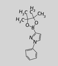 CC1(C)OB(c2ccn(-c3ccccc3)n2)OC1(C)C